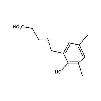 Cc1cc(C)c(O)c(CNCCC(=O)O)c1